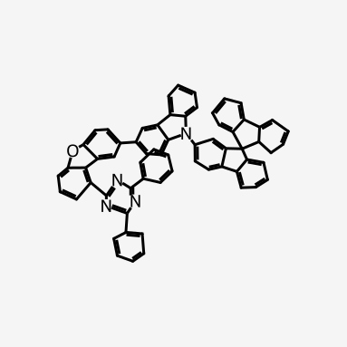 C1=CCC2C(=C1)c1ccccc1C21c2ccccc2-c2ccc(-n3c4ccccc4c4cc(-c5ccc6oc7cccc(-c8nc(-c9ccccc9)nc(-c9ccccc9)n8)c7c6c5)ccc43)cc21